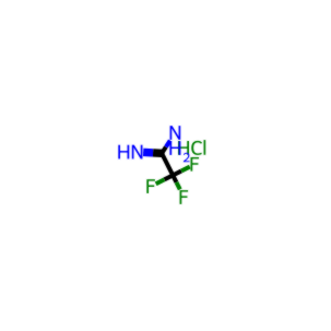 Cl.N=C(N)C(F)(F)F